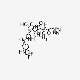 C[C@@H](NC(=O)Cn1cnnn1)[C@H]1C(=O)N2C(C(=O)O)=C(S[C@@H]3CN[C@H](C(=O)N4CCC5(CC4)CC(F)(F)CN5)C3)[C@H](C)[C@H]12